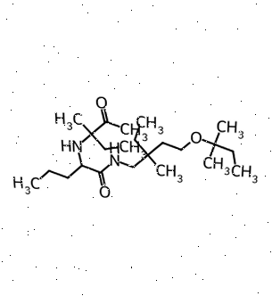 CCCC(NC(C)(CC)C(C)=O)C(=O)NCC(C)(CC)CCOC(C)(C)CC